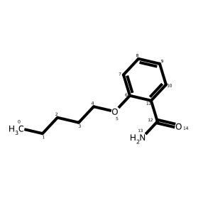 CCCCCOc1ccccc1C(N)=O